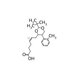 Cc1ccccc1C1COC(C(C)(C)C)OC1C/C=C\CCCC(=O)O